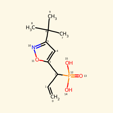 C=CC(c1cc(C(C)(C)C)no1)P(=O)(O)O